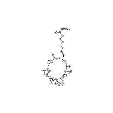 CCCCCCCC(=O)SCCCC/C=C/[C@@H]1CC(=O)NCc2nc(cs2)C2=N[C@@](C)(CS2)C(=O)NC(C(C)C)C(=O)O1